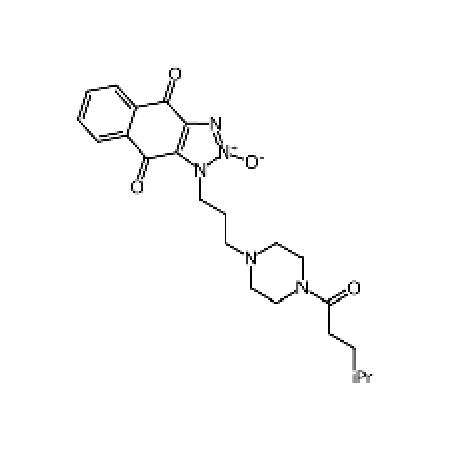 CC(C)CCC(=O)N1CCN(CCCn2c3c(n[n+]2[O-])C(=O)c2ccccc2C3=O)CC1